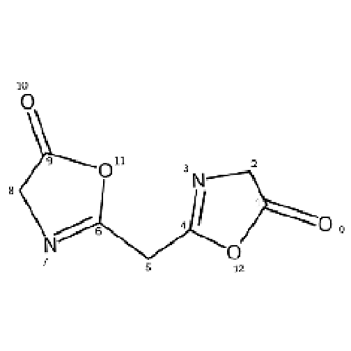 O=C1CN=C(CC2=NCC(=O)O2)O1